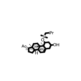 CC(=O)[C@H]1CC[C@H]2[C@@H]3CC=C4CC(O)CC(O[Si](C)(C)CC(C)C)[C@]4(C)[C@H]3CC[C@]12C